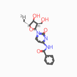 [2H]C[C@H]1O[C@@H](n2ccc(NC(=O)c3ccccc3)nc2=O)[C@H](CO)C1O